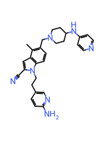 Cc1c(CN2CCC(Nc3ccncc3)CC2)ccc2c1cc(C#N)n2CCc1ccc(N)nc1